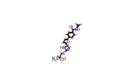 C=C(O)CSc1nnc(-c2ccc(-c3ccc(C(=O)NC4CC4)cc3)o2)[nH]1